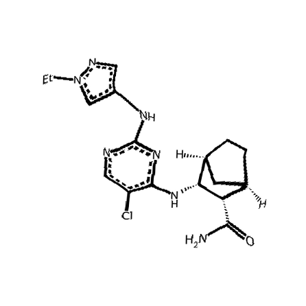 CCn1cc(Nc2ncc(Cl)c(N[C@@H]3[C@H]4CC[C@H](C4)[C@@H]3C(N)=O)n2)cn1